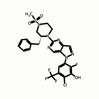 CS(=O)(=O)N1CCN(c2ncc3c(cnn3-c3cc(C(F)(F)F)c(Cl)c(O)c3F)n2)[C@H](Cc2ccccc2)C1